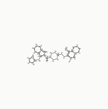 Cc1nc2ccccc2c(=O)n1CCN1CCC(Nc2nc3ccccc3n2Cc2ccco2)CC1